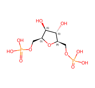 O=P(O)(O)OC[C@@H]1O[C@H](COP(=O)(O)O)[C@@H](O)[C@@H]1O